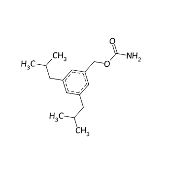 CC(C)Cc1cc(COC(N)=O)cc(CC(C)C)c1